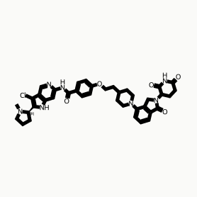 CN1CCC[C@@H]1c1[nH]c2cc(NC(=O)c3ccc(OCCC4CCN(c5cccc6c5CN(C5CCC(=O)NC5=O)C6=O)CC4)cc3)ncc2c1Cl